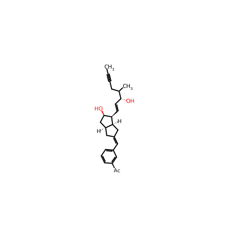 CC#CCC(C)[C@H](O)/C=C/[C@H]1[C@H]2C/C(=C/c3cccc(C(C)=O)c3)C[C@H]2C[C@H]1O